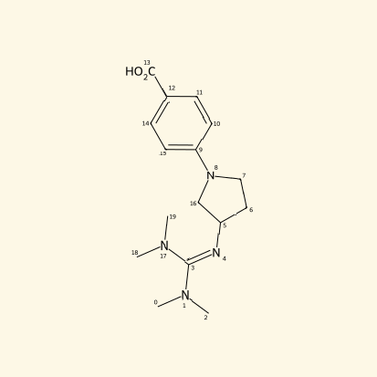 CN(C)C(=NC1CCN(c2ccc(C(=O)O)cc2)C1)N(C)C